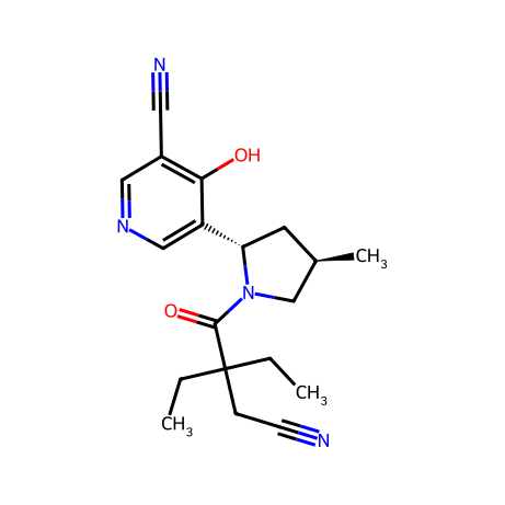 CCC(CC)(CC#N)C(=O)N1C[C@H](C)C[C@H]1c1cncc(C#N)c1O